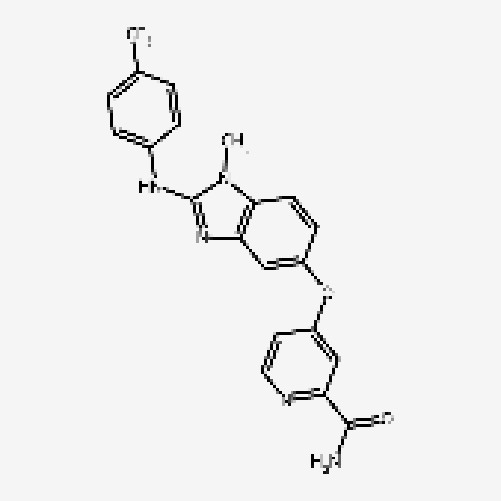 Cn1c(Nc2ccc(C(F)(F)F)cc2)nc2cc(Oc3ccnc(C(N)=O)c3)ccc21